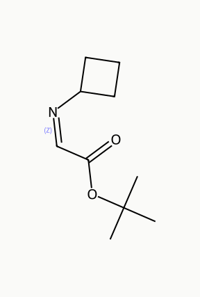 CC(C)(C)OC(=O)/C=N\C1CCC1